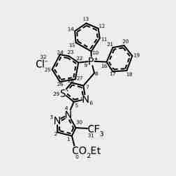 CCOC(=O)c1cnn(-c2nc(C[P+](c3ccccc3)(c3ccccc3)c3ccccc3)cs2)c1C(F)(F)F.[Cl-]